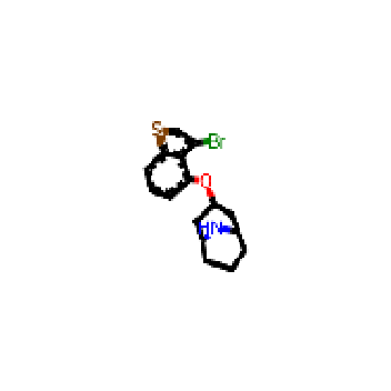 Brc1csc2cccc(OC3CC4CCCC(C3)N4)c12